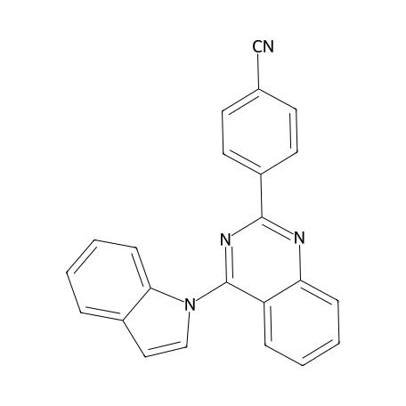 N#Cc1ccc(-c2nc(-n3ccc4ccccc43)c3ccccc3n2)cc1